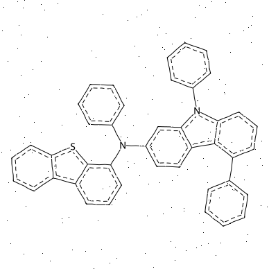 c1ccc(-c2cccc3c2c2ccc(N(c4ccccc4)c4cccc5c4sc4ccccc45)cc2n3-c2ccccc2)cc1